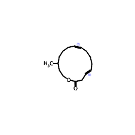 CC1CCC/C=C\CCC/C=C/CC(=O)OCC1